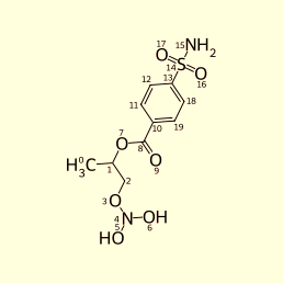 CC(CON(O)O)OC(=O)c1ccc(S(N)(=O)=O)cc1